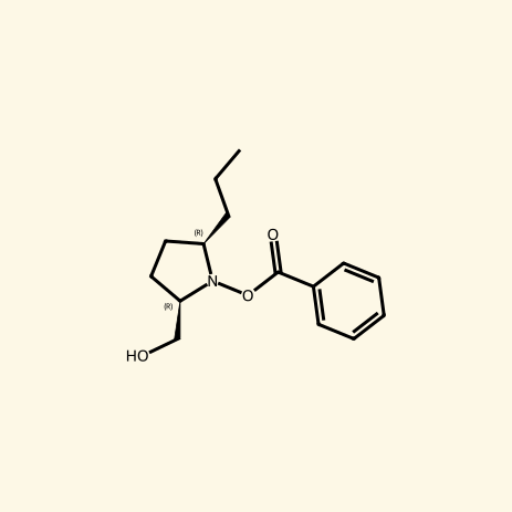 CCC[C@@H]1CC[C@H](CO)N1OC(=O)c1ccccc1